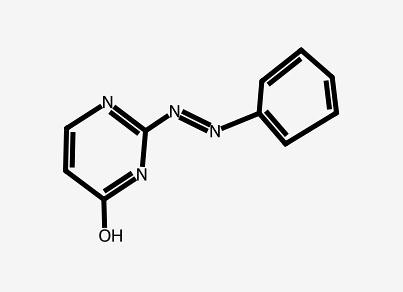 Oc1ccnc(N=Nc2ccccc2)n1